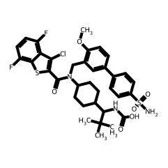 COc1ccc(-c2ccc(S(N)(=O)=O)cc2)cc1CN(C(=O)c1sc2c(F)ccc(F)c2c1Cl)C1CCC(C(NC(=O)O)C(C)(C)C)CC1